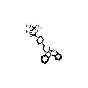 CC(C)(C)OC(=O)N1CCN(CCN2c3ccccc3N(c3ccccc3F)S2(=O)=O)CC1